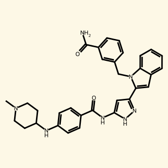 CN1CCC(Nc2ccc(C(=O)Nc3cc(-c4cc5ccccc5n4Cc4cccc(C(N)=O)c4)n[nH]3)cc2)CC1